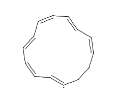 [C]1=C/C=C\C=C\C=C/C=C/C=C\CC/1